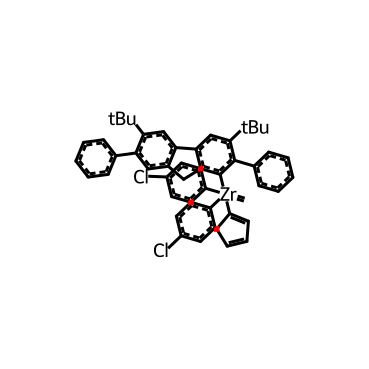 [CH2]=[Zr]([C]1=CC=CC1)([c]1ccc(Cl)cc1)([c]1ccc(Cl)cc1)[c]1c2c(cc(C(C)(C)C)c1-c1ccccc1)-c1cc(C(C)(C)C)c(-c3ccccc3)cc1C2